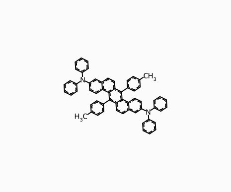 Cc1ccc(-c2c3ccc4cc(N(c5ccccc5)c5ccccc5)ccc4c3c(-c3ccc(C)cc3)c3ccc4cc(N(c5ccccc5)c5ccccc5)ccc4c23)cc1